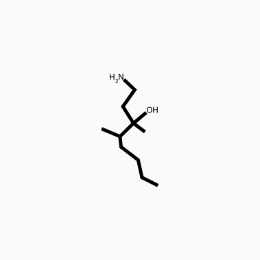 CCCCC(C)C(C)(O)CCN